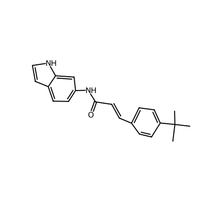 CC(C)(C)c1ccc(C=CC(=O)Nc2ccc3cc[nH]c3c2)cc1